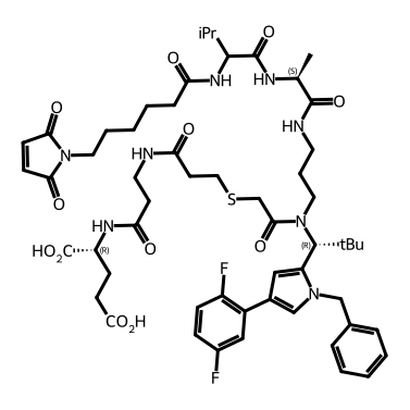 CC(C)C(NC(=O)CCCCCN1C(=O)C=CC1=O)C(=O)N[C@@H](C)C(=O)NCCCN(C(=O)CSCCC(=O)NCCC(=O)N[C@H](CCC(=O)O)C(=O)O)[C@@H](c1cc(-c2cc(F)ccc2F)cn1Cc1ccccc1)C(C)(C)C